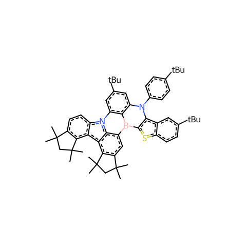 CC(C)(C)c1ccc(N2c3cc(C(C)(C)C)cc4c3B(c3sc5ccc(C(C)(C)C)cc5c32)c2cc3c(c5c6c7c(ccc6n-4c25)C(C)(C)CC7(C)C)C(C)(C)CC3(C)C)cc1